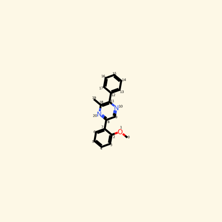 COc1ccccc1-c1cnc(-c2ccccc2)c(C)n1